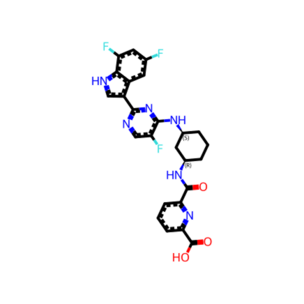 O=C(O)c1cccc(C(=O)N[C@@H]2CCC[C@H](Nc3nc(-c4c[nH]c5c(F)cc(F)cc45)ncc3F)C2)n1